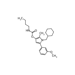 CCCCNC(=O)Oc1cc(-c2cccc(OC)c2)n(CC2CCCCC2)c1C